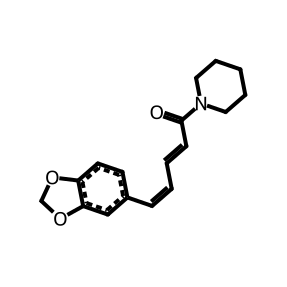 O=C(/C=C/C=C\c1ccc2c(c1)OCO2)N1CCCCC1